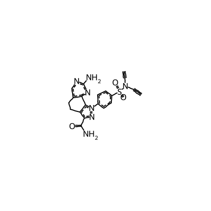 C#CN(C#C)S(=O)(=O)c1ccc(-n2nc(C(N)=O)c3c2-c2nc(N)ncc2CC3)cc1